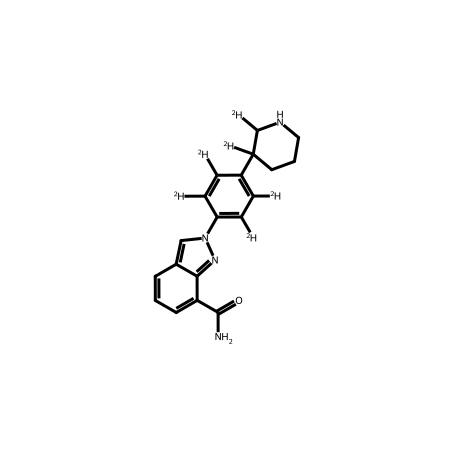 [2H]c1c([2H])c(C2([2H])CCCNC2[2H])c([2H])c([2H])c1-n1cc2cccc(C(N)=O)c2n1